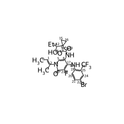 C/C=C(\C)n1cc(NS(=O)(=O)C2(C(O)CC)CC2)c(Nc2ccc(Br)cc2C(F)(F)F)c(F)c1=O